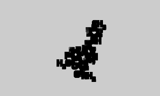 CC(Oc1cc(-n2cnc3cc(CNC4CCN(C)CC4)ncc32)sc1C(N)=O)c1ccccc1F